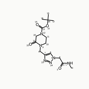 CNC(=O)Cn1cc(CN2CCN(C(=O)OC(C)(C)C)CC2=O)nn1